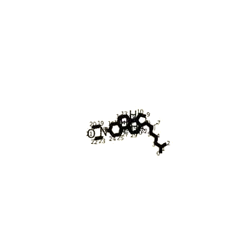 CC(C)CCC[C@@H](C)[C@H]1CC[C@H]2[C@@H]3CCC4CC(N5CCOCC5)CC[C@]4(C)[C@H]3CC[C@]12C